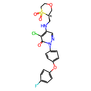 O=c1c(Cl)c(NC[C@@H]2COCCS2(=O)=O)cnn1-c1ccc(Oc2ccc(F)cc2)cc1